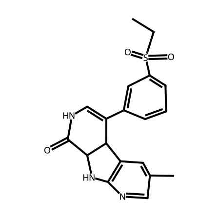 CCS(=O)(=O)c1cccc(C2=CNC(=O)C3Nc4ncc(C)cc4C23)c1